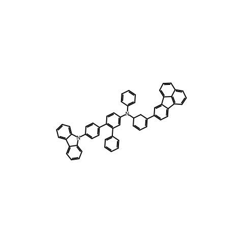 C1=CC(N(c2ccccc2)c2ccc(-c3ccc(-n4c5ccccc5c5ccccc54)cc3)c(-c3ccccc3)c2)CC(c2ccc3c(c2)-c2cccc4cccc-3c24)=C1